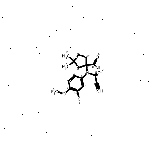 C#CC(=O)N(c1ccc(OC(F)(F)F)c(Cl)c1)C1(C(N)=O)CCC(C)(C)C1